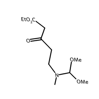 CCOC(=O)CC(=O)CCN(C)C(OC)OC